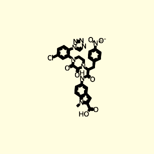 Cn1c(C(=O)O)cc2cc(NC(=O)C(Cc3ccc([N+](=O)[O-])cc3)N3CCN(c4cc(Cl)ccc4-n4cnnn4)C(=O)C3=O)ccc21